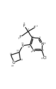 FC(F)(F)c1cnc(Cl)nc1SC1COC1